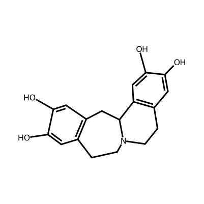 Oc1cc2c(cc1O)CC1c3cc(O)c(O)cc3CCN1CC2